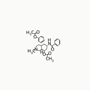 CC(=O)Oc1cccc([C@@]23CCN(C)C[C@H]2C(OC(C)=O)C[C@@H](NC(=O)c2ccccc2)C3)c1